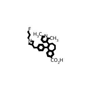 Cc1ccc(C2=C(c3ccc(CC4CN(CCCF)C4)cc3)c3ccc(C(=O)O)cc3CCC2)c(C)n1